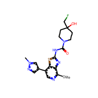 COc1ncc(-c2cnn(C)c2)c2sc(NC(=O)N3CCC(O)(CF)CC3)nc12